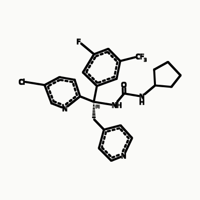 O=C(NC1CCCC1)N[C@](Cc1ccncc1)(c1cc(F)cc(C(F)(F)F)c1)c1ccc(Cl)cn1